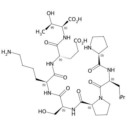 CC(C)C[C@H](NC(=O)[C@@H]1CCCN1)C(=O)N1CCC[C@H]1C(=O)N[C@@H](CO)C(=O)N[C@@H](CCCCN)C(=O)N[C@@H](CCC(=O)O)C(=O)N[C@H](C(=O)O)[C@@H](C)O